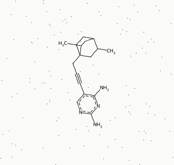 CC1CC2(CC#Cc3cnc(N)nc3N)CCC1CC2C